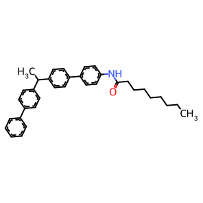 CCCCCCCCC(=O)Nc1ccc(-c2ccc(C(C)c3ccc(-c4ccccc4)cc3)cc2)cc1